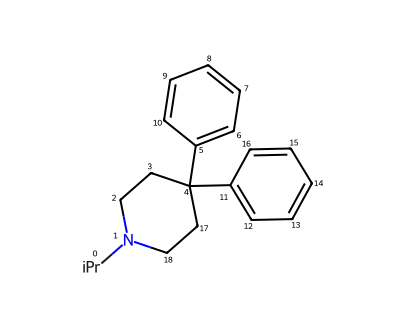 CC(C)N1CCC(c2ccccc2)(c2ccccc2)CC1